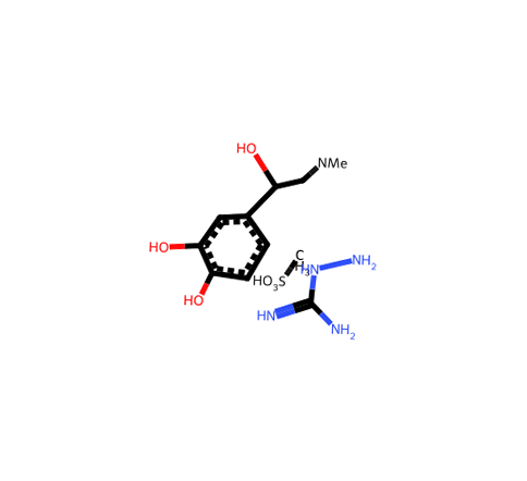 CNCC(O)c1ccc(O)c(O)c1.CS(=O)(=O)O.N=C(N)NN